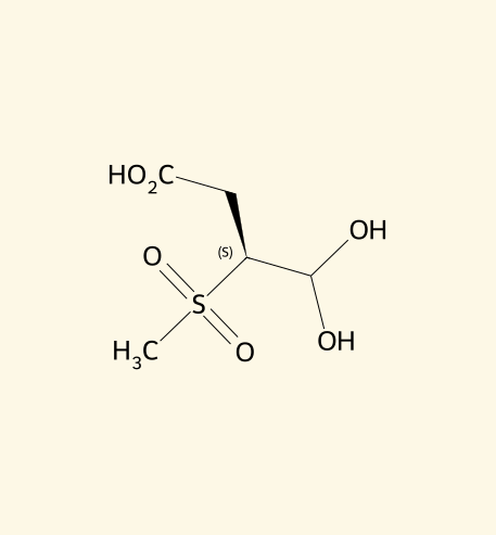 CS(=O)(=O)[C@@H](CC(=O)O)C(O)O